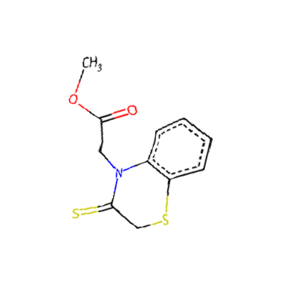 COC(=O)CN1C(=S)CSc2ccccc21